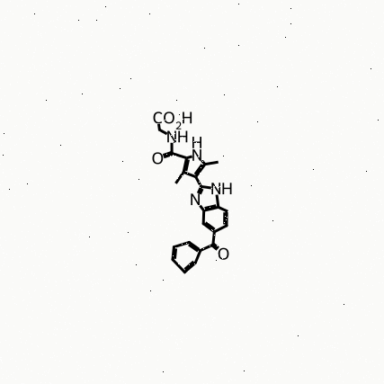 Cc1[nH]c(C(=O)NCC(=O)O)c(C)c1-c1nc2cc(C(=O)c3ccccc3)ccc2[nH]1